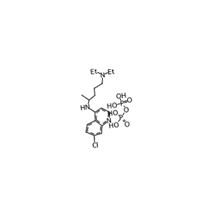 CCN(CC)CCCC(C)Nc1ccnc2cc(Cl)ccc12.O=P(O)(O)OP(=O)(O)O